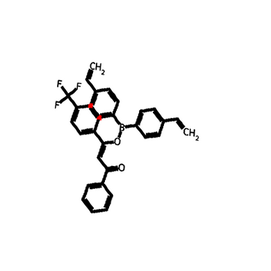 C=Cc1ccc(B(O/C(=C\C(=O)c2ccccc2)c2ccc(C(F)(F)F)cc2)c2ccc(C=C)cc2)cc1